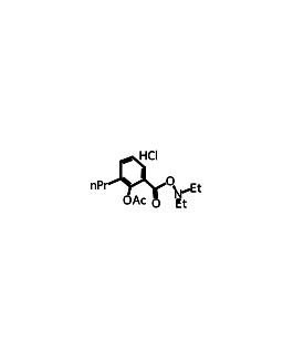 CCCc1cccc(C(=O)ON(CC)CC)c1OC(C)=O.Cl